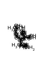 C[C@H]1[C@@H](F)[C@H](n2cnc3c(N)ncnc32)O[C@@H]1COP(=O)(OC[C@@H]1[C@H](F)C(COP(=O)(O)CO)O[C@H]1n1cnc2c(=O)[nH]cnc21)SCOC(=O)c1ccc(OCOC(=O)C(C)(C)C)cc1